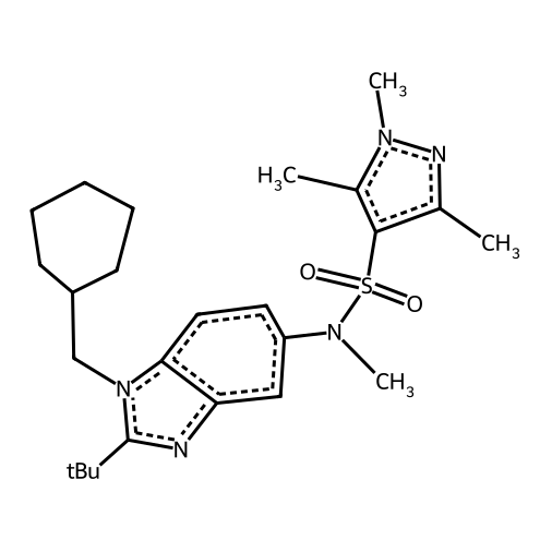 Cc1nn(C)c(C)c1S(=O)(=O)N(C)c1ccc2c(c1)nc(C(C)(C)C)n2CC1CCCCC1